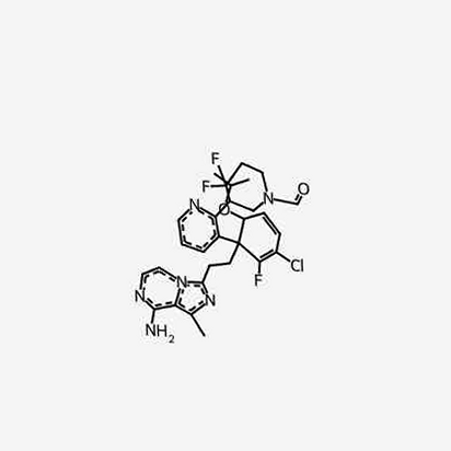 Cc1nc(CCC2(c3cccnc3C3CN(C=O)CCC3(F)F)C(F)=C(Cl)C=CC2OC(C)C)n2ccnc(N)c12